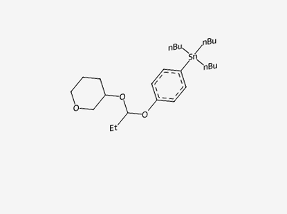 CCC[CH2][Sn]([CH2]CCC)([CH2]CCC)[c]1ccc(OC(CC)OC2CCCOC2)cc1